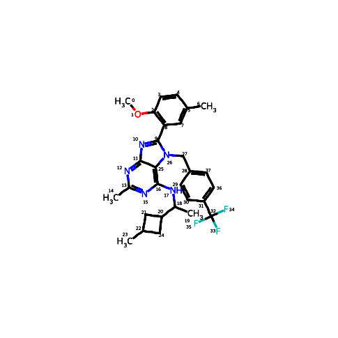 COc1ccc(C)cc1-c1nc2nc(C)nc(NC(C)C3CC(C)C3)c2n1Cc1ccc(C(F)(F)F)cc1